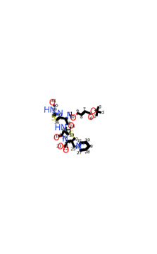 CC(C)(C)OC(=O)/C=C/CO/N=C(\C(=O)NC1C(=O)N2C(C(=O)[O-])=C(C[n+]3ccccc3)CS[C@H]12)c1csc(NC=O)n1